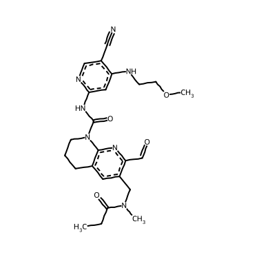 CCC(=O)N(C)Cc1cc2c(nc1C=O)N(C(=O)Nc1cc(NCCOC)c(C#N)cn1)CCC2